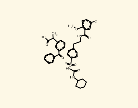 CC(C(=O)O)c1cccc(C(=O)c2ccccc2)c1.COc1ccc(Cl)cc1C(=O)NCCc1ccc(S(=O)(=O)NC(=O)NC2CCCCC2)cc1